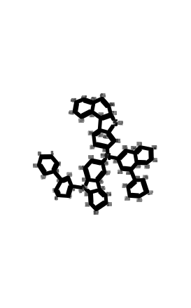 c1ccc(-c2cccc(-n3c4ccccc4c4cc(N(c5cc(-c6ccccc6)c6ccccc6c5)c5ccc6c(c5)sc5ccc7ccccc7c56)ccc43)c2)cc1